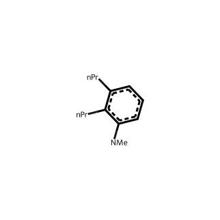 CCCc1cccc(NC)c1CCC